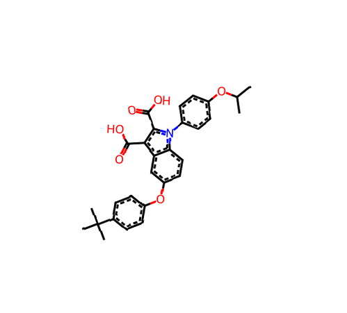 CC(C)Oc1ccc(-n2c(C(=O)O)c(C(=O)O)c3cc(Oc4ccc(C(C)(C)C)cc4)ccc32)cc1